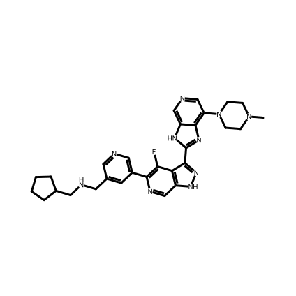 CN1CCN(c2cncc3[nH]c(-c4n[nH]c5cnc(-c6cncc(CNCC7CCCC7)c6)c(F)c45)nc23)CC1